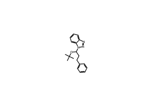 CC(C)(C)OC(CCc1ccccc1)n1nnc2ccccc21